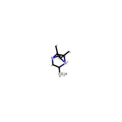 CC1=C(C)N2CCN1CC2C(=O)O